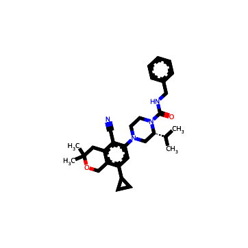 CC(C)[C@@H]1CN(c2cc(C3CC3)c3c(c2C#N)CC(C)(C)OC3)CCN1C(=O)NCc1ccccc1